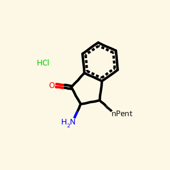 CCCCCC1c2ccccc2C(=O)C1N.Cl